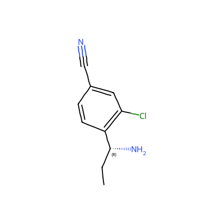 CC[C@@H](N)c1ccc(C#N)cc1Cl